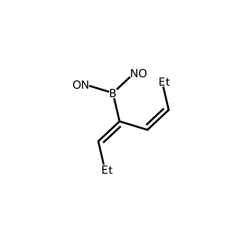 CC/C=C\C(=C/CC)B(N=O)N=O